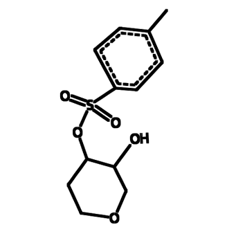 Cc1ccc(S(=O)(=O)OC2CCOCC2O)cc1